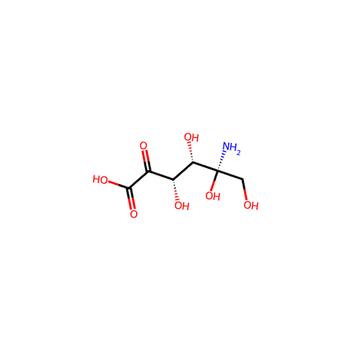 N[C@@](O)(CO)[C@@H](O)[C@H](O)C(=O)C(=O)O